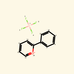 F[B-](F)(F)F.c1ccc(-c2cccc[o+]2)cc1